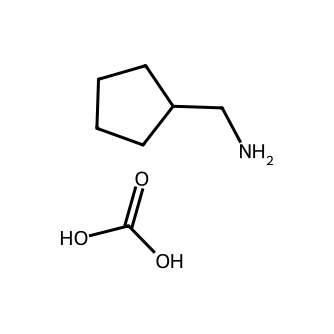 NCC1CCCC1.O=C(O)O